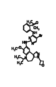 COc1cc2c(cc1Nc1ncc(Br)c(Nc3ccccc3P(C)(C)=O)n1)-c1cnn(C3COC3)c1CCN2C(C)C